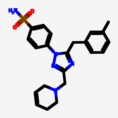 Cc1cccc(Cc2nc(CN3CC=CCC3)nn2-c2ccc(S(N)(=O)=O)cc2)c1